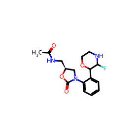 CC(=O)NC[C@H]1CN(c2ccccc2C2OCCNC2F)C(=O)O1